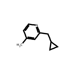 [CH2]c1ccnc(CC2CC2)c1